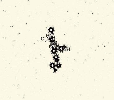 O=C(NS(=O)(=O)c1cnc(NCC2CCCCC2)c([N+](=O)[O-])c1)c1ccc(N2CCC3(CC2)CC(N2CCC[C@H]2c2ccccc2C2CC2)C3)cc1Oc1cnc2[nH]ccc2c1